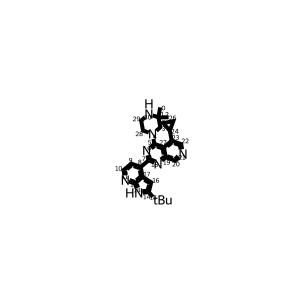 CC1(C)CN(c2nc(-c3ccnc4[nH]c(C(C)(C)C)cc34)nc3cncc(C4CC4)c23)CCN1